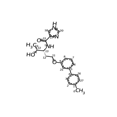 Cc1ccc(-c2cccc(OCC[C@@H](NC(=O)c3c[nH]cn3)[C@H](C)O)c2)cc1